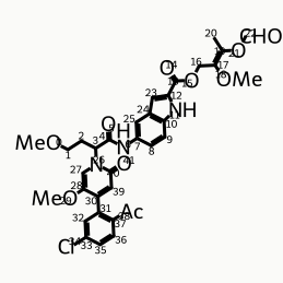 COCCC(C(=O)Nc1ccc2[nH]c(C(=O)OC/C(OC)=C(\C)OC=O)cc2c1)n1cc(OC)c(-c2cc(Cl)ccc2C(C)=O)cc1=O